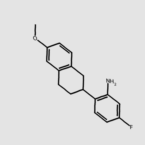 COc1ccc2c(c1)CCC(c1ccc(F)cc1N)C2